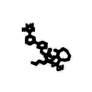 CCCCc1cn(C2C(C)CCCCCC2C(=O)O)c(=O)n1Cc1cc(-c2cccc(-c3nnn[nH]3)c2)ccn1